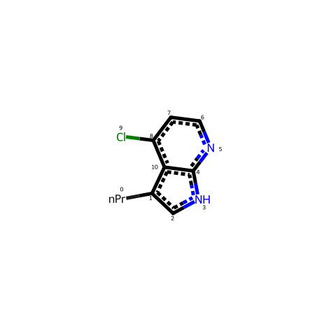 CCCc1c[nH]c2nccc(Cl)c12